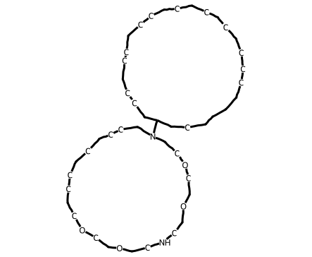 C1CCCCCCCCCCCCC(N2CCCCCCCCCCOCCOCCNCCOCCOCC2)CCCCCCCCCCCC1